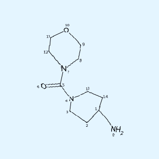 NC1CCN(C(=O)N2CCOCC2)CC1